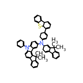 CC1(C)C2=CC(N(C3=CC=C(C4=CC=CC5c6ccccc6SC45)CC3)c3ccc4c(c3)c3c5c(ccc3n4-c3ccccc3)-c3ccccc3C5(C)C)CC=C2c2ccccc21